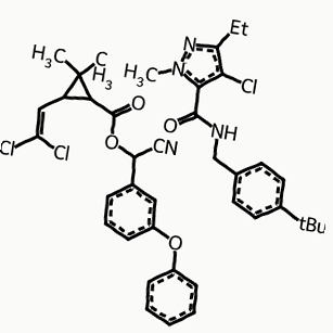 CC1(C)C(C=C(Cl)Cl)C1C(=O)OC(C#N)c1cccc(Oc2ccccc2)c1.CCc1nn(C)c(C(=O)NCc2ccc(C(C)(C)C)cc2)c1Cl